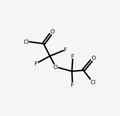 O=C(Cl)C(F)(F)OC(F)(F)C(=O)Cl